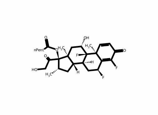 CCCCCC(=O)O[C@]1(C(=O)CO)[C@@H](C)C[C@H]2[C@@H]3C[C@H](F)C4=C(F)C(=O)C=C[C@]4(C)[C@@]3(F)[C@@H](O)C[C@@]21C